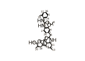 CCOc1cc(CC(=O)NC(CC(C)C)c2cc(CC(C)C(=O)O)on2)ccc1NC(=O)Nc1ccccc1C